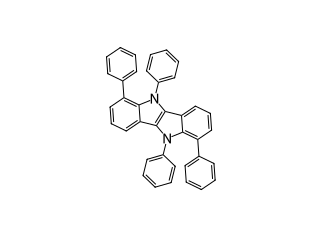 c1ccc(-c2cccc3c2n(-c2ccccc2)c2c4cccc(-c5ccccc5)c4n(-c4ccccc4)c32)cc1